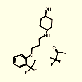 O=C(O)C(F)(F)F.OC1CCC(NCCCOc2c[c]ccc2C(F)(F)F)CC1